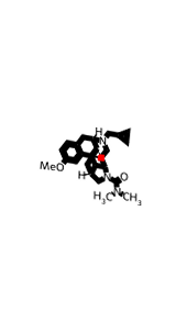 COc1ccc2c(c1)[C@]13CCN(CC4CC4)[C@H](C2)[C@]12CCC1C3[C@@H](CN1C(=O)N(C)C)C2